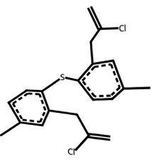 C=C(Cl)Cc1cc(C)ccc1Sc1ccc(C)cc1CC(=C)Cl